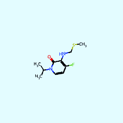 CSCNc1c(F)ccn(C(C)C)c1=O